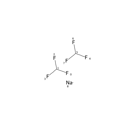 FC(F)F.FC(F)F.[Na]